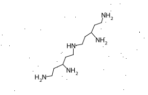 NCCC(N)CCNCCC(N)CCN